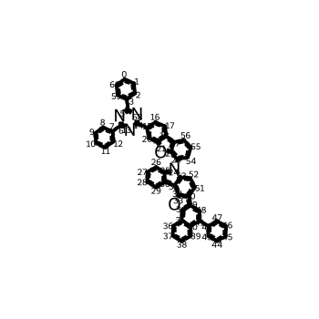 c1ccc(-c2nc(-c3ccccc3)nc(-c3ccc4c(c3)oc3c(-n5c6ccccc6c6c7oc8c9ccccc9c(-c9ccccc9)cc8c7ccc65)cccc34)n2)cc1